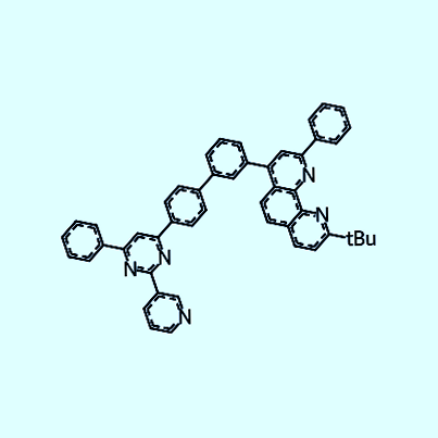 CC(C)(C)c1ccc2ccc3c(-c4cccc(-c5ccc(-c6cc(-c7ccccc7)nc(-c7cccnc7)n6)cc5)c4)cc(-c4ccccc4)nc3c2n1